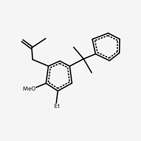 C=C(C)Cc1cc(C(C)(C)c2ccccc2)cc(CC)c1OC